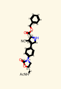 CC(=O)NC[C@H]1CN(c2ccc(C3=C(C#N)[C@@H](C(=O)OCc4ccccc4)NC3)cc2)C(=O)O1